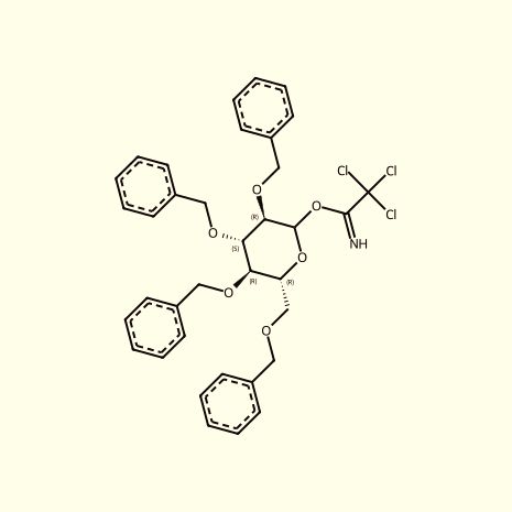 N=C(OC1O[C@H](COCc2ccccc2)[C@@H](OCc2ccccc2)[C@H](OCc2ccccc2)[C@H]1OCc1ccccc1)C(Cl)(Cl)Cl